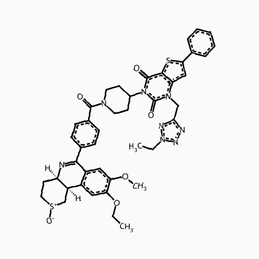 CCOc1cc2c(cc1OC)C(c1ccc(C(=O)N3CCC(n4c(=O)c5sc(-c6ccccc6)cc5n(Cc5nnn(CC)n5)c4=O)CC3)cc1)=N[C@@H]1CC[S+]([O-])C[C@H]21